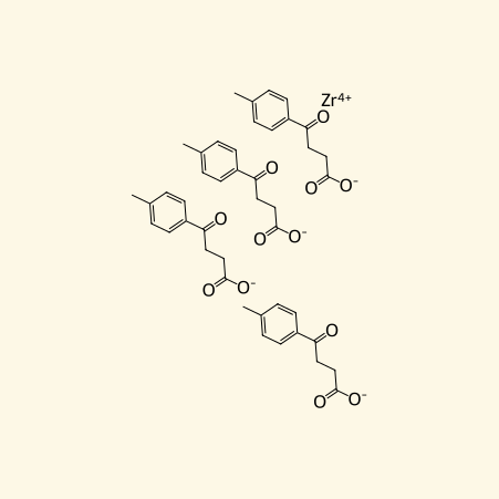 Cc1ccc(C(=O)CCC(=O)[O-])cc1.Cc1ccc(C(=O)CCC(=O)[O-])cc1.Cc1ccc(C(=O)CCC(=O)[O-])cc1.Cc1ccc(C(=O)CCC(=O)[O-])cc1.[Zr+4]